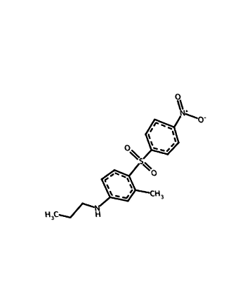 CCCNc1ccc(S(=O)(=O)c2ccc([N+](=O)[O-])cc2)c(C)c1